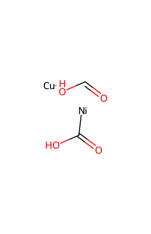 O=CO.O=[C](O)[Ni].[Cu]